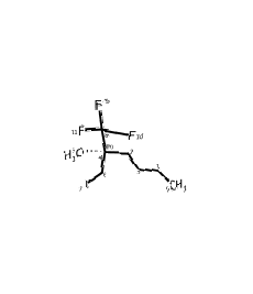 CCCC[C@@](C)(CI)C(F)(F)F